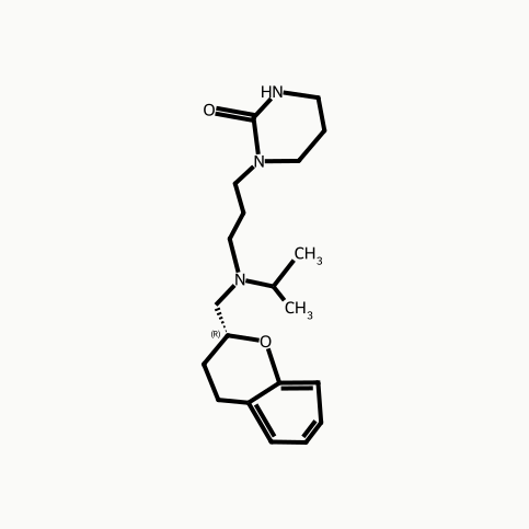 CC(C)N(CCCN1CCCNC1=O)C[C@H]1CCc2ccccc2O1